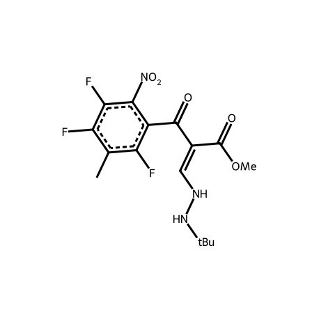 COC(=O)C(=CNNC(C)(C)C)C(=O)c1c(F)c(C)c(F)c(F)c1[N+](=O)[O-]